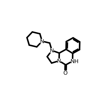 O=C1Nc2ccccc2C2N(CN3CCCCC3)CCN12